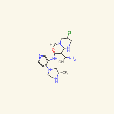 CN1CC(Cl)CNC1C(C(=O)Nc1cnccc1N1CCNC(C(F)(F)F)C1)C(N)N=O